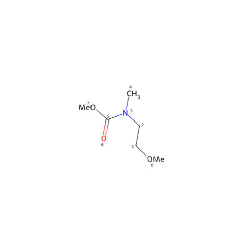 COCCN(C)C(=O)OC